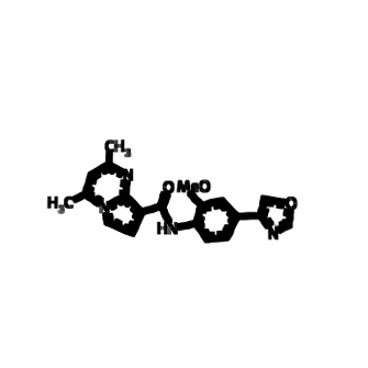 COc1cc(-c2cocn2)ccc1NC(=O)c1ccn2c(C)cc(C)nc12